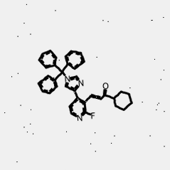 O=C(C=Cc1c(-c2cn(C(c3ccccc3)(c3ccccc3)c3ccccc3)cn2)ccnc1F)C1CCCCC1